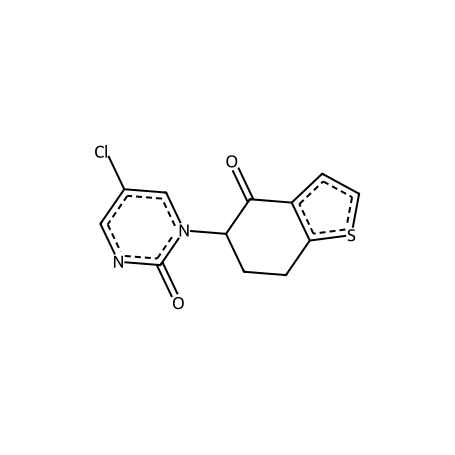 O=C1c2ccsc2CCC1n1cc(Cl)cnc1=O